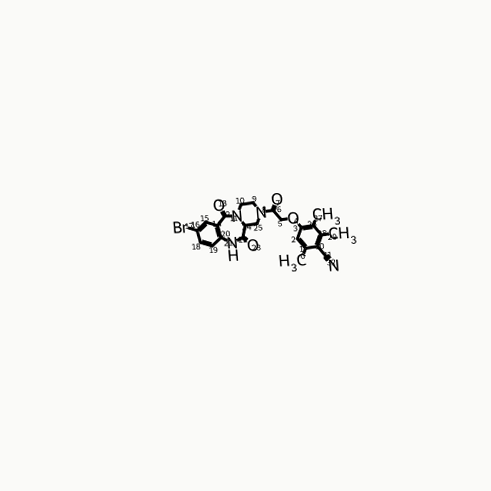 Cc1cc(OCC(=O)N2CCN3C(=O)c4cc(Br)ccc4NC(=O)C3C2)c(C)c(C)c1C#N